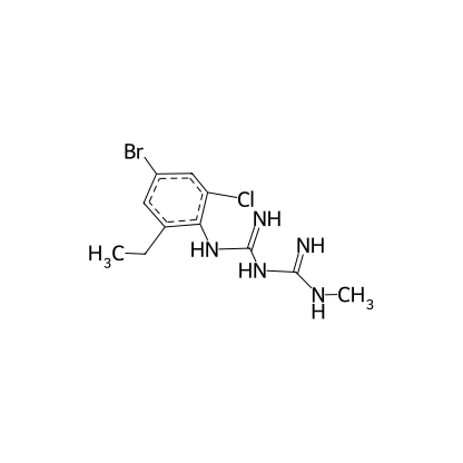 CCc1cc(Br)cc(Cl)c1NC(=N)NC(=N)NC